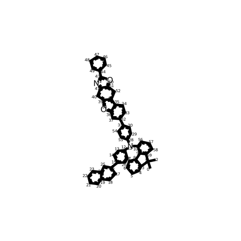 CC1(C)c2ccccc2-c2c(N(c3ccc(-c4ccc5ccccc5c4)cc3)c3ccc(-c4ccc5c(c4)oc4cc6nc(-c7ccccc7)oc6cc45)cc3)cccc21